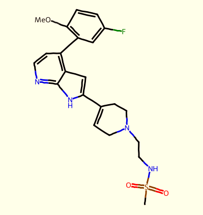 COc1ccc(F)cc1-c1ccnc2[nH]c(C3=CCN(CCNS(C)(=O)=O)CC3)cc12